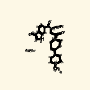 CCCN(CC(=O)N1CCC(C2CCN(C)CC2)CC1)C(=O)c1ccc2c(Cl)c[nH]c2c1.Cl